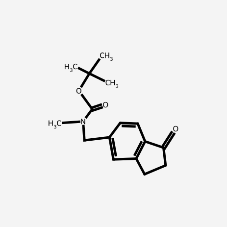 CN(Cc1ccc2c(c1)CCC2=O)C(=O)OC(C)(C)C